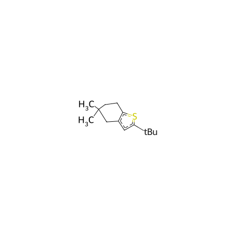 CC1(C)CCc2sc(C(C)(C)C)cc2C1